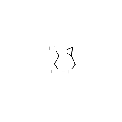 CCCC.NCC1CO1